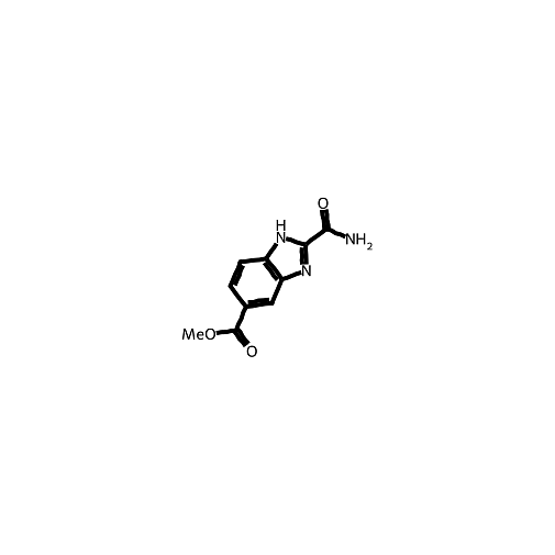 COC(=O)c1ccc2[nH]c(C(N)=O)nc2c1